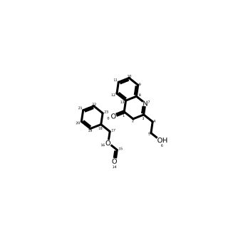 O=C1CC(CCO)=Nc2ccccc21.O=COCC1C=CC=CC1